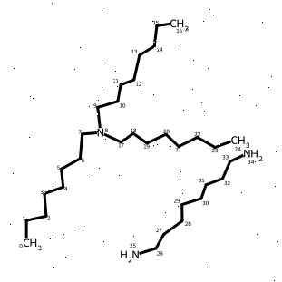 CCCCCCCCN(CCCCCCCC)CCCCCCCC.NCCCCCCCCN